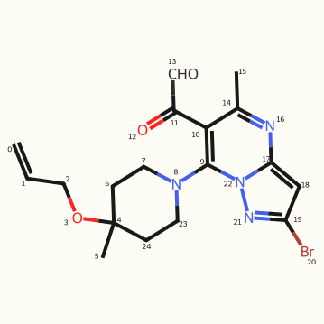 C=CCOC1(C)CCN(c2c(C(=O)C=O)c(C)nc3cc(Br)nn23)CC1